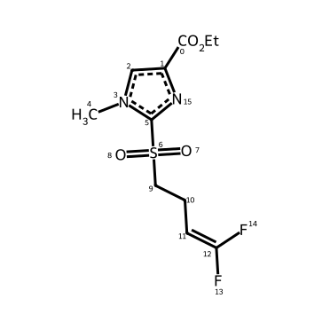 CCOC(=O)c1cn(C)c(S(=O)(=O)CCC=C(F)F)n1